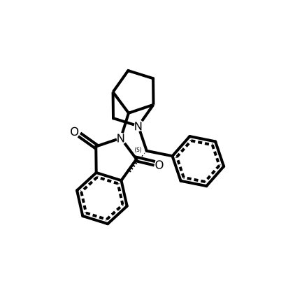 C[C@@H](c1ccccc1)N1CC2CCC1C2N1C(=O)c2ccccc2C1=O